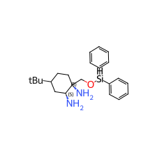 CC(C)(C)C1CC[C@](N)(CO[SiH](c2ccccc2)c2ccccc2)[C@@H](N)C1